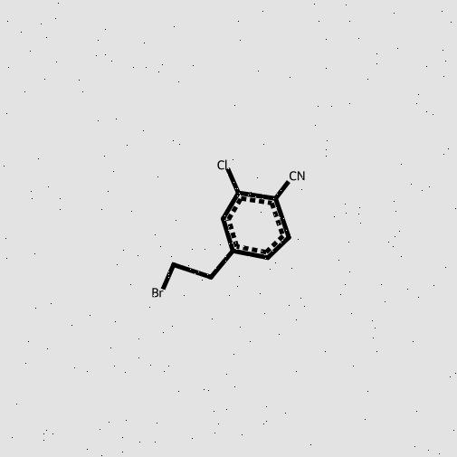 N#Cc1ccc(CCBr)cc1Cl